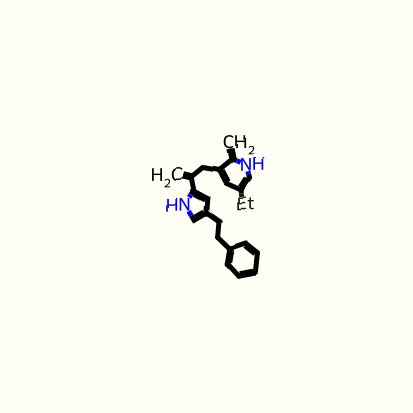 C=C1NC=C(CC)C=C1CC(=C)c1cc(CCc2ccccc2)c[nH]1